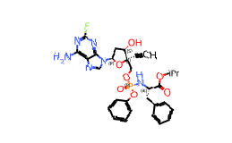 C#C[C@]1(CO[P@](=O)(N[C@@H](Cc2ccccc2)C(=O)OC(C)C)Oc2ccccc2)O[C@@H](n2cnc3c(N)nc(F)nc32)C[C@@H]1O